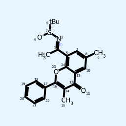 C/C(=N\[S+]([O-])C(C)(C)C)c1cc(C)cc2c(=O)c(C)c(-c3ccccc3)oc12